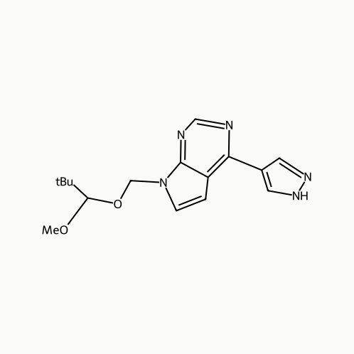 COC(OCn1ccc2c(-c3cn[nH]c3)ncnc21)C(C)(C)C